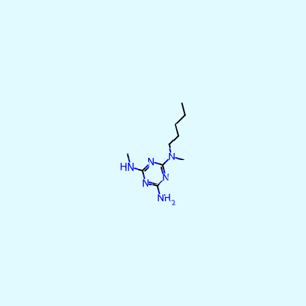 CCCCCN(C)c1nc(N)nc(NC)n1